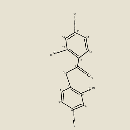 O=C(Cc1ccc(F)cc1F)c1ccc(I)cc1F